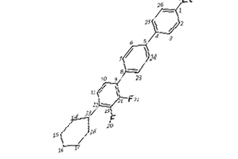 CCc1ccc(-c2ccc(-c3ccc(C4CCCCC4)c(F)c3F)cc2)cc1